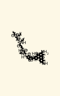 CCC(=O)N[C@@H](CSCC(COC(=O)CC)OC(=O)CC)C(=O)CCCNC(=O)C(CSC1CC(=O)N(NC(=O)c2ccc(-c3c4ccc(=N)c(C)c-4oc4c(C)c(N)ccc34)c(C(=O)O)c2)C1=O)NC(C)=O